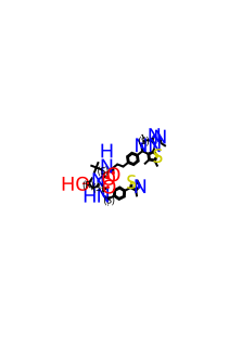 Cc1ncsc1-c1ccc([C@H](C)NC(=O)[C@@H]2C[C@@H](O)CN2C(=O)[C@@H](NC(=O)CCc2ccc(C3=N[C@@H](C)c4nnc(C)n4-c4sc(C)c(C)c43)cc2)C(C)(C)C)cc1